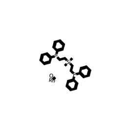 C=O.C[Si](C)(CCP(c1ccccc1)c1ccccc1)CCP(c1ccccc1)c1ccccc1.[Rh]